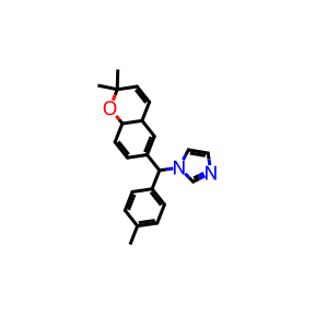 Cc1ccc(C(C2=CC3C=CC(C)(C)OC3C=C2)n2ccnc2)cc1